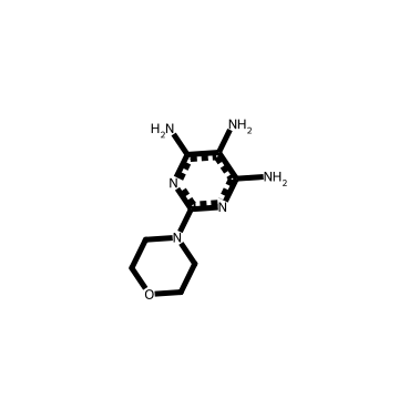 Nc1nc(N2CCOCC2)nc(N)c1N